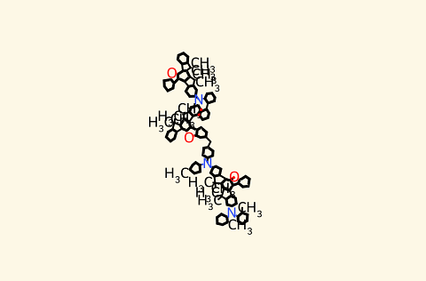 Cc1ccc(N(c2ccc(Cc3ccc4c(c3)oc3c5c(c6c(c34)-c3ccc(N(c4ccc7c(c4)C(C)(C)c4c8c(c9oc%10ccccc%10c9c4-7)-c4ccccc4C8(C)C)c4ccccc4-c4ccccc4)cc3C6(C)C)C(C)(C)c3ccccc3-5)cc2)c2ccc3c(c2)C(C)(C)c2c4c(c5c(oc6ccccc65)c2-3)-c2ccc(N(c3ccccc3C)c3ccccc3C)cc2C4(C)C)cc1